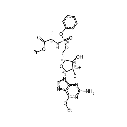 CCOc1nc(N)nc2c1ncn2[C@@H]1O[C@H](CO[P@](=O)(N[C@@H](C)C(=O)OC(C)C)Oc2ccccc2)[C@@H](O)[C@@]1(F)Cl